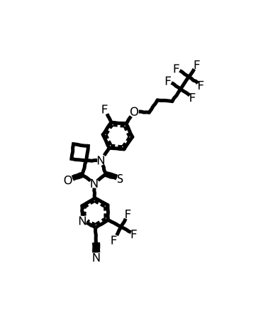 N#Cc1ncc(N2C(=O)C3(CCC3)N(c3ccc(OCCCC(F)(F)C(F)(F)F)c(F)c3)C2=S)cc1C(F)(F)F